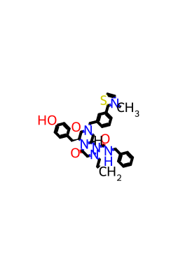 C=CCN1CC(=O)N2[C@@H](Cc3ccc(O)cc3)C(=O)N(Cc3cccc(C4SC=CN4C)c3)C[C@@H]2N1C(=O)NCc1ccccc1